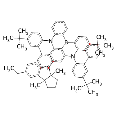 CCc1ccc2c(c1)C1(C)CCCC1(C)N2c1cc2c3c(c1)N(c1ccc(C(C)(C)C)cc1-c1ccccc1)c1cc(C(C)(C)C)ccc1B3c1ccccc1N2c1ccc(C(C)(C)C)cc1-c1ccccc1